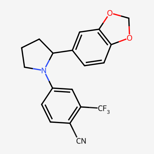 N#Cc1ccc(N2CCCC2c2ccc3c(c2)OCO3)cc1C(F)(F)F